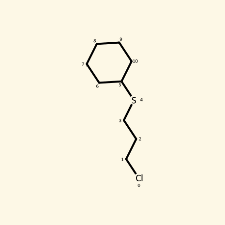 ClCCCSC1C[CH]CCC1